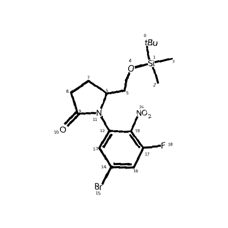 CC(C)(C)[Si](C)(C)OCC1CCC(=O)N1c1cc(Br)cc(F)c1[N+](=O)[O-]